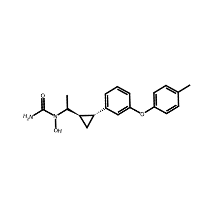 Cc1ccc(Oc2cccc([C@@H]3C[C@H]3C(C)N(O)C(N)=O)c2)cc1